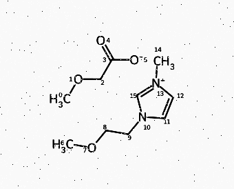 COCC(=O)[O-].COCCn1cc[n+](C)c1